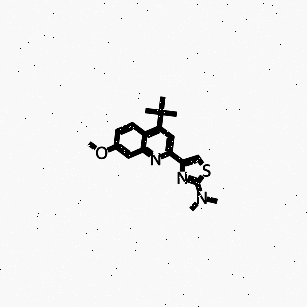 COc1ccc2c(C(C)(C)C)cc(-c3csc(N(C)C)n3)nc2c1